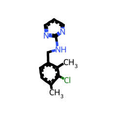 Cc1ccc(CNc2ncccn2)c(C)c1Cl